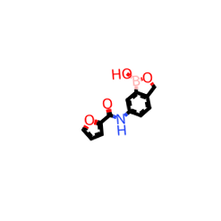 O=C(Nc1ccc2c(c1)B(O)OC2)c1ccco1